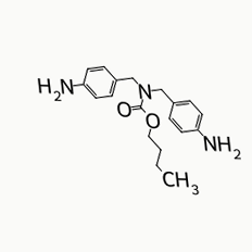 CCCCOC(=O)N(Cc1ccc(N)cc1)Cc1ccc(N)cc1